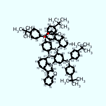 CC(C)(C)c1ccc(N(c2ccc(C(C)(C)C)cc2)c2ccc3c(c2)N(c2cccc4oc5ccccc5c24)c2cc(N(c4ccc(C(C)(C)C)cc4)c4ccc(C(C)(C)C)cc4)cc4c2B3c2cccc3c5c6ccccc6oc5n-4c23)cc1